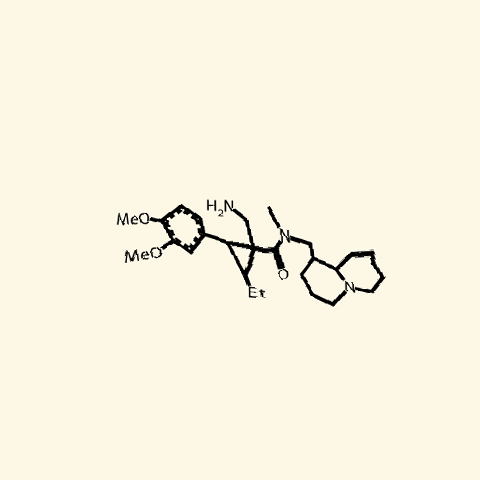 CCC1C(c2ccc(OC)c(OC)c2)C1(CN)C(=O)N(C)CC1CCCN2CCCCC12